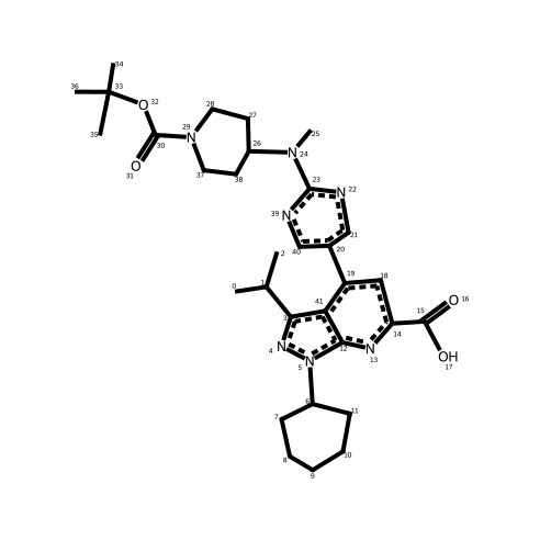 CC(C)c1nn(C2CCCCC2)c2nc(C(=O)O)cc(-c3cnc(N(C)C4CCN(C(=O)OC(C)(C)C)CC4)nc3)c12